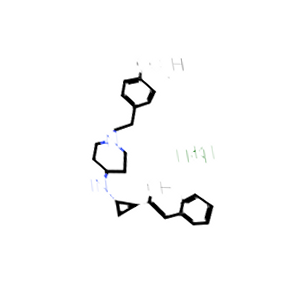 C/C(=C\c1ccccc1)[C@@H]1C[C@H]1NC1CCN(CCc2ccc(C(=O)O)cc2)CC1.Cl.Cl